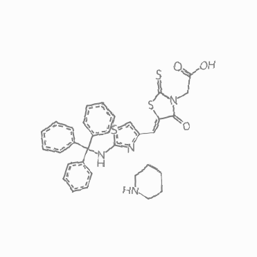 C1CCNCC1.O=C(O)CN1C(=O)C(=Cc2csc(NC(c3ccccc3)(c3ccccc3)c3ccccc3)n2)SC1=S